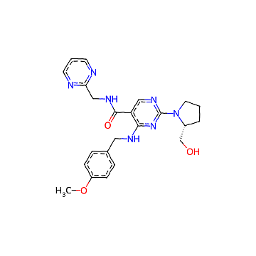 COc1ccc(CNc2nc(N3CCC[C@@H]3CO)ncc2C(=O)NCc2ncccn2)cc1